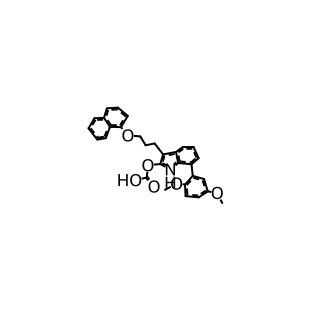 COc1ccc(OC)c(-c2cccc3c(CCCOc4cccc5ccccc45)c(OC(=O)O)[nH]c23)c1